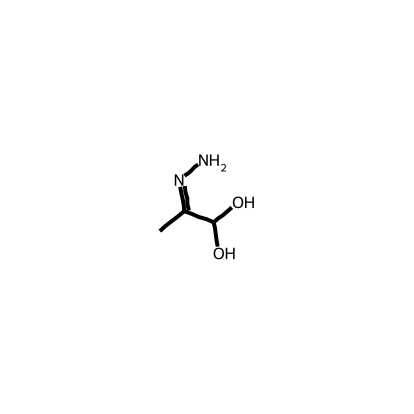 C/C(=N/N)C(O)O